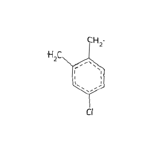 [CH2]c1ccc(Cl)cc1[CH2]